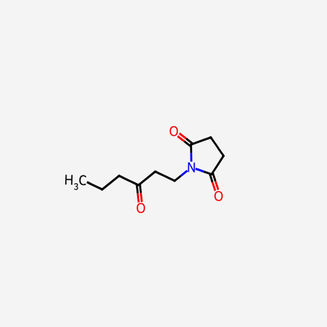 CCCC(=O)CCN1C(=O)CCC1=O